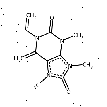 C=CN1C(=C)c2c(n(C)c(=O)n2C)N(C)C1=O